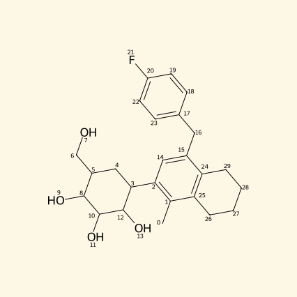 Cc1c(C2CC(CO)C(O)C(O)C2O)cc(Cc2ccc(F)cc2)c2c1CCCC2